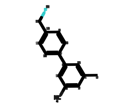 Cc1cc(C#N)cc(-c2ccc(CF)cc2)c1